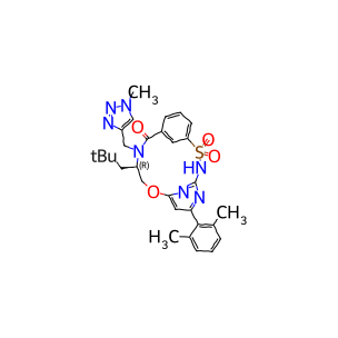 Cc1cccc(C)c1-c1cc2nc(n1)NS(=O)(=O)c1cccc(c1)C(=O)N(Cc1cn(C)nn1)[C@H](CC(C)(C)C)CO2